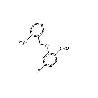 Cc1ccccc1COc1cc(F)ccc1C=O